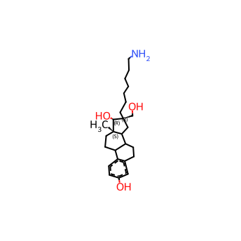 C[C@]12CCC3c4ccc(O)cc4CCC3C1C[C@@](CO)(CCCCCCCN)[C@@H]2O